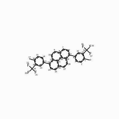 Cc1ccc(-c2ccc3ccc4c(-c5ccc(C)c(C(F)(F)F)c5)ccc5ccc2c3c54)cc1C(F)(F)F